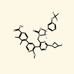 COc1ncc(-c2ccc(C(=O)O)c(C)c2C)cc1-c1cnc(N2CC(F)C2)nc1CN1C(=O)O[C@H](c2cccc(OC(F)(F)F)c2)[C@@H]1C